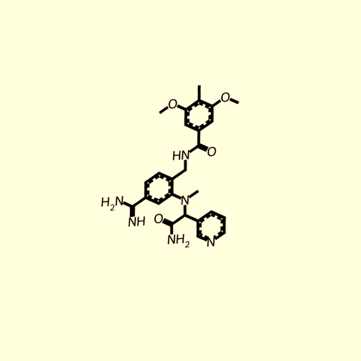 COc1cc(C(=O)NCc2ccc(C(=N)N)cc2N(C)C(C(N)=O)c2cccnc2)cc(OC)c1C